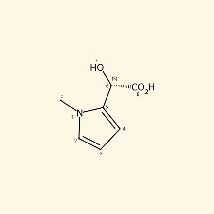 Cn1cccc1[C@H](O)C(=O)O